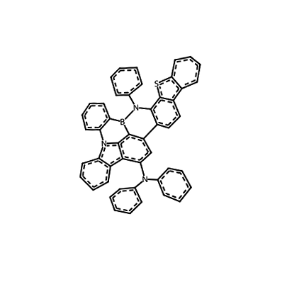 c1ccc(N2B3c4ccccc4-n4c5ccccc5c5c(N(c6ccccc6)c6ccccc6)cc(c3c54)-c3ccc4c(sc5ccccc54)c32)cc1